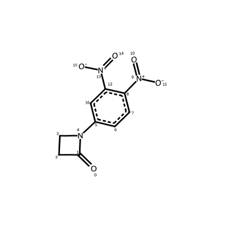 O=C1CCN1c1ccc([N+](=O)[O-])c([N+](=O)[O-])c1